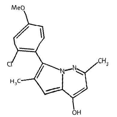 COc1ccc(-c2c(C)cc3c(O)cc(C)nn23)c(Cl)c1